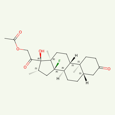 CC(=O)OCC(=O)[C@@]1(O)[C@@H](C)C[C@@]2(F)[C@@H]3CC[C@H]4CC(=O)CC[C@]4(C)[C@H]3CC[C@@]21C